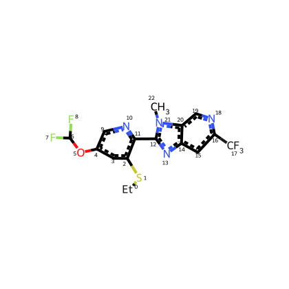 CCSc1cc(OC(F)F)cnc1-c1nc2cc(C(F)(F)F)ncc2n1C